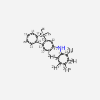 [2H]c1c([2H])c([2H])c(Nc2ccc3c(c2)[Si](C)(C)c2ccccc2-3)c([2H])c1[2H]